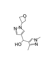 Cc1nn(C)cc1C(O)c1cnn(C2COC2)c1